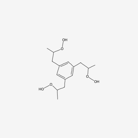 CC(Cc1cc(CC(C)OO)cc(CC(C)OO)c1)OO